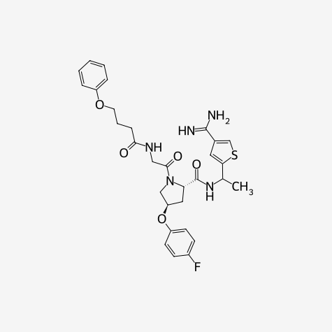 CC(NC(=O)[C@@H]1C[C@@H](Oc2ccc(F)cc2)CN1C(=O)CNC(=O)CCCOc1ccccc1)c1cc(C(=N)N)cs1